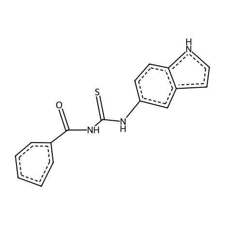 O=C(NC(=S)Nc1ccc2[nH]ccc2c1)c1ccccc1